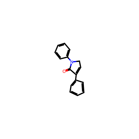 O=C1C(c2ccccc2)=CCN1c1ccccc1